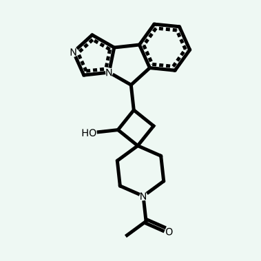 CC(=O)N1CCC2(CC1)CC(C1c3ccccc3-c3cncn31)C2O